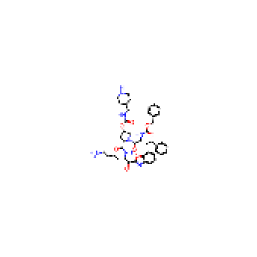 NCCCC[C@H](NC(=O)[C@@H]1C[C@@H](OC(=O)NCC2CCNCC2)CN1C(=O)[C@@H](CCc1ccccc1)NC(=O)OCc1ccccc1)C(=O)c1nc2ccccc2o1